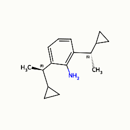 C[C@H](c1cccc([C@H](C)C2CC2)c1N)C1CC1